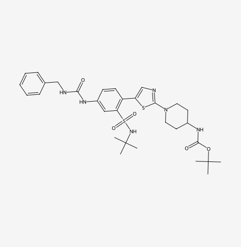 CC(C)(C)NS(=O)(=O)c1cc(NC(=O)NCc2ccccc2)ccc1-c1cnc(N2CCC(NC(=O)OC(C)(C)C)CC2)s1